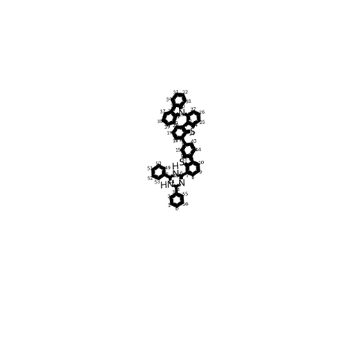 c1ccc(C2N=C(c3cccc4c3sc3cc(-c5cccc6c5sc5cccc(-n7c8ccccc8c8ccccc87)c56)ccc34)NC(c3ccccc3)N2)cc1